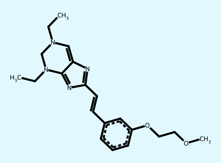 CCN1C=C2N=C(/C=C/c3cccc(OCCOC)c3)N=C2N(CC)C1